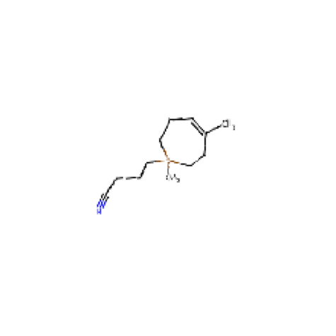 CC1=CCCS(C)(CCCC#N)CC1